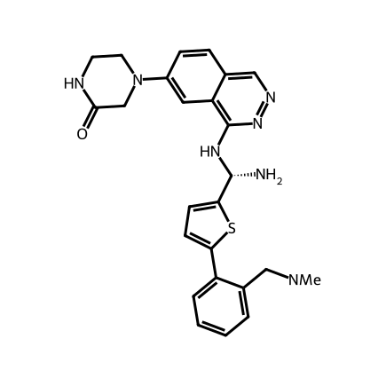 CNCc1ccccc1-c1ccc([C@@H](N)Nc2nncc3ccc(N4CCNC(=O)C4)cc23)s1